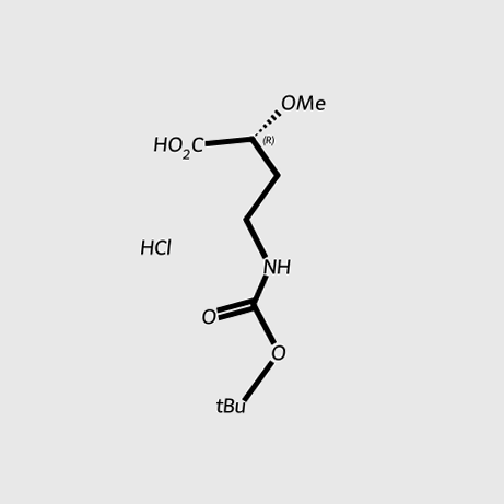 CO[C@H](CCNC(=O)OC(C)(C)C)C(=O)O.Cl